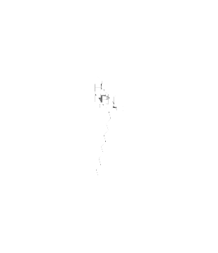 CCCCCCCCCCCCC(=O)N(C)P(=O)(NC)SCCC